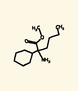 CCCCC(N)(C(=O)OC)C1CCCCC1